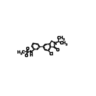 CC(C)N1Cc2cc(-c3cccc(NS(C)(=O)=O)c3)cc(Cl)c2C1=O